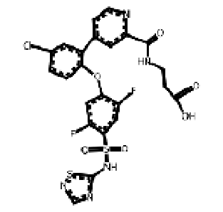 O=C(O)CCNC(=O)c1cc(-c2cc(Cl)ccc2Oc2cc(F)c(S(=O)(=O)Nc3ncns3)cc2F)ccn1